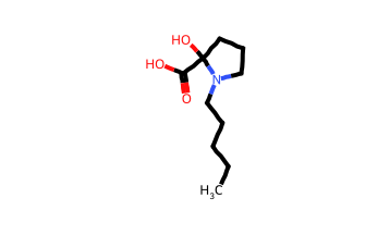 CCCCCN1CCCC1(O)C(=O)O